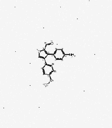 COc1ccc(-c2coc(C=O)c2-c2ccc(N)cc2)cc1